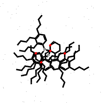 CCCCc1ccc(P(c2ccc(CCCC)c(CCCC)c2CCCC)C2CCCCC2(P(c2ccc(CCCC)c(CCCC)c2CCCC)c2ccc(CCCC)c(CCCC)c2CCCC)P(c2ccc(CCCC)c(CCCC)c2CCCC)c2ccc(CCCC)c(CCCC)c2CCCC)c(CCCC)c1CCCC